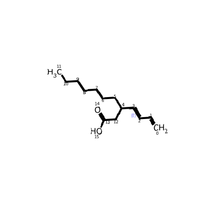 C=C/C=C/C(CCCCCCC)CC(=O)O